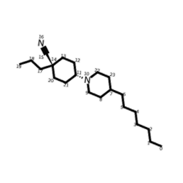 CCCCCCCC1CCN([C@H]2CC[C@@](C#N)(CCC)CC2)CC1